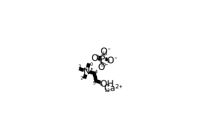 C[N+](C)(C)CCO.O=P([O-])([O-])[O-].[Ca+2]